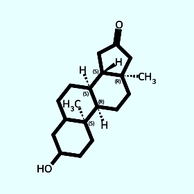 C[C@]12CC[C@@H]3[C@@H](CCC4CC(O)CC[C@@]43C)[C@@H]1CC(=O)C2